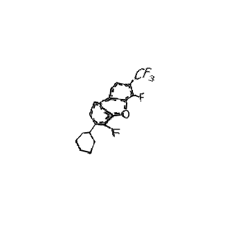 Fc1c(C2CCCCC2)ccc2c1oc1c(F)c(C(F)(F)F)ccc12